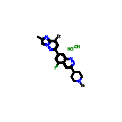 CCc1cc(-c2cc(F)c3cc(C4CCN(CC)CC4)nnc3c2)nn2cc(C)nc12.Cl.Cl